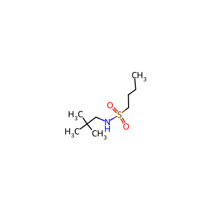 CCCCS(=O)(=O)NCC(C)(C)C